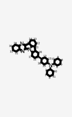 c1ccc(N(c2ccccc2)c2ccc(-c3ccc4c(c3)c3cccc5c6nc7ccccc7nc6n4c35)cc2)cc1